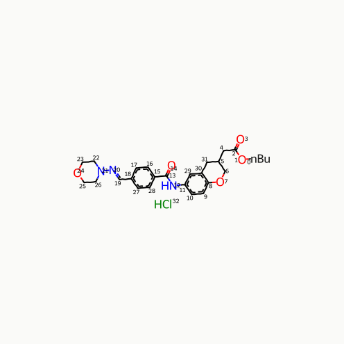 CCCCOC(=O)CC1COc2ccc(NC(=O)c3ccc(C=NN4CCOCC4)cc3)cc2C1.Cl